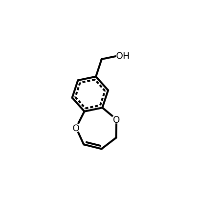 OCc1ccc2c(c1)OCC=CO2